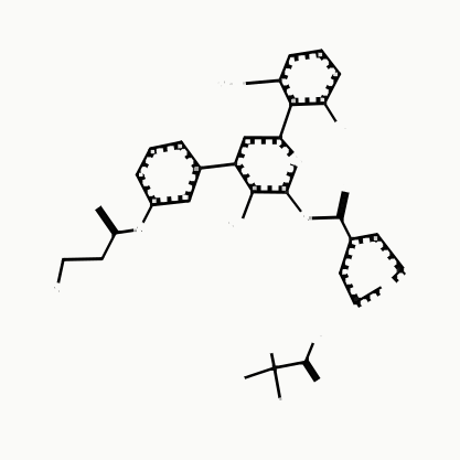 COc1cccc(O)c1-c1cc(-c2cccc(NC(=O)CCN)c2)c(C#N)c(NC(=O)c2ccccc2)n1.O=C(O)C(F)(F)F